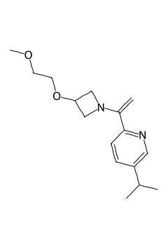 C=C(c1ccc(C(C)C)cn1)N1CC(OCCOC)C1